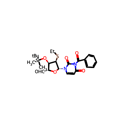 CCS[C@@H]1[C@H](O[Si](C)(C)C(C)(C)C)[C@@H](C=O)O[C@H]1n1ccc(=O)n(C(=O)c2ccccc2)c1=O